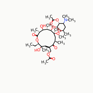 CC[C@H]1OC(=O)[C@H](C)[C@@H](O)[C@H](C)[C@@H](O[C@@H]2O[C@H](C)C[C@H](N(C)C)[C@H]2OC(C)=O)[C@@](C)(OC)C[C@@H](C)C(=O)/C(COC(C)=O)=C/[C@]1(C)O